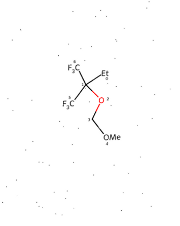 CCC(OCOC)(C(F)(F)F)C(F)(F)F